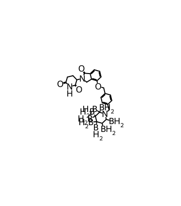 BC1C(B)C(B)(B)C(B)(B)C(B)(B)N1Cc1ccc(COc2cccc3c2CN(C2CCC(=O)NC2=O)C3=O)cc1